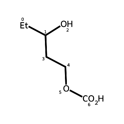 CCC(O)CCOC(=O)O